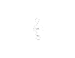 N#CC(C#N)=C1N(CCN2CCCCC2)CCN1CCN1CCCCC1